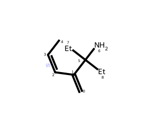 C=C(/C=C\C)C(N)(CC)CC